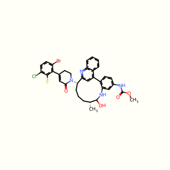 COC(=O)Nc1ccc2c(c1)NC(O)[C@H](C)CCC[C@H](N1CCC(c3c(Br)ccc(Cl)c3F)=CC1=O)c1cc-2c2ccccc2n1